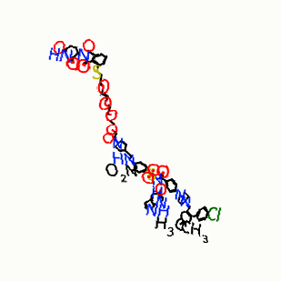 CC1(C)CCC(CN2CCN(c3ccc(C(=O)NS(=O)(=O)c4ccc(NCC5CCN(C(=O)COCCOCCOCCOCCSc6cccc7c6C(=O)N(C6CCC(=O)NC6=O)C7=O)CC5)c([N+](=O)[O-])c4)c(Oc4cnc5[nH]ccc5c4)c3)CC2)=C(c2ccc(Cl)cc2)C1